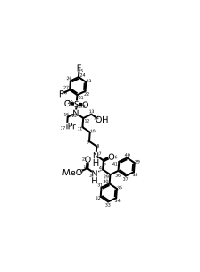 COC(=O)N[C@H](C(=O)NCCCCC(CO)N(CC(C)C)S(=O)(=O)c1ccc(F)cc1F)C(c1ccccc1)c1ccccc1